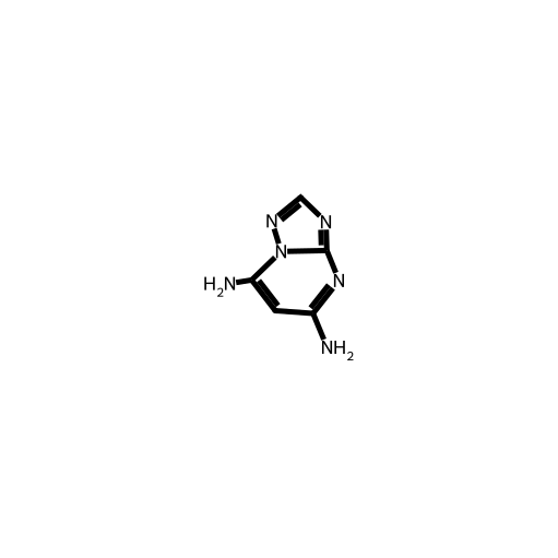 Nc1cc(N)n2ncnc2n1